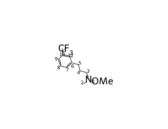 CON(C)CCCc1cccc(C(F)(F)F)c1